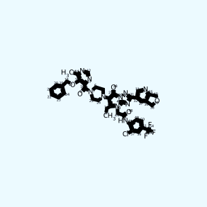 CCc1c(N2CCN(C(=O)c3ncnc(C)c3OCc3ccccc3)CC2)c(=O)n2nc(-c3cnc4c(c3)COC4)nc2n1CC(=O)Nc1ccc(C(F)(F)F)cc1Cl